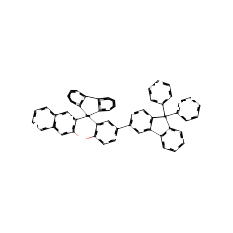 c1ccc(C2(c3ccccc3)c3ccccc3-c3cc(-c4ccc5c(c4)C4(c6cc7ccccc7cc6O5)c5ccccc5-c5ccccc54)ccc32)cc1